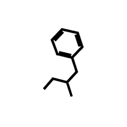 CC[C](C)Cc1ccccc1